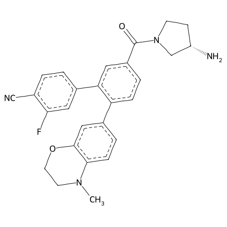 CN1CCOc2cc(-c3ccc(C(=O)N4CC[C@H](N)C4)cc3-c3ccc(C#N)c(F)c3)ccc21